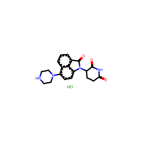 Cl.O=C1CCC(N2C(=O)c3cccc4c(N5CCNCC5)ccc2c34)C(=O)N1